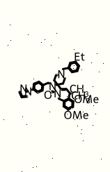 CCc1cccc(CN2CCC3(CC2)C2=CC(C)(C)c4c(cc(OC)cc4OC)CN2C(=O)N3Cc2ccc(-n3cccn3)cc2)c1